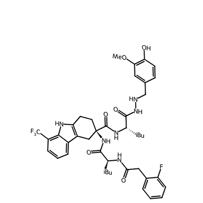 CCC(C)[C@H](NC(=O)Cc1ccccc1F)C(=O)N[C@]1(C(=O)N[C@H](C(=O)NNCc2ccc(O)c(OC)c2)C(C)CC)CCc2[nH]c3c(C(F)(F)F)cccc3c2C1